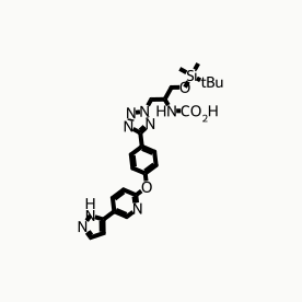 CC(C)(C)[Si](C)(C)OCC(Cn1nnc(-c2ccc(Oc3ccc(-c4ccn[nH]4)cn3)cc2)n1)NC(=O)O